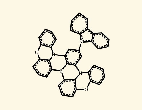 c1ccc2c(c1)Oc1cccc3c1N2c1cc(-n2c4ccccc4c4ccccc42)cc2c1B3c1cccc3c1N2c1ccccc1O3